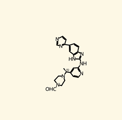 C[C@@H](c1ccnc(Nc2nc3ccc(-c4ccncn4)cc3[nH]2)c1)N1CCN(C=O)CC1